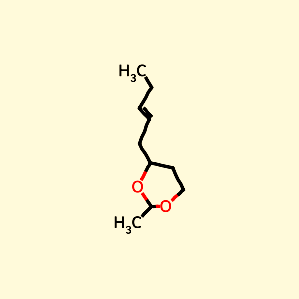 CCC=CCC1CCOC(C)O1